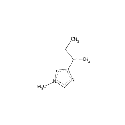 CCC(C)c1cn(C)cn1